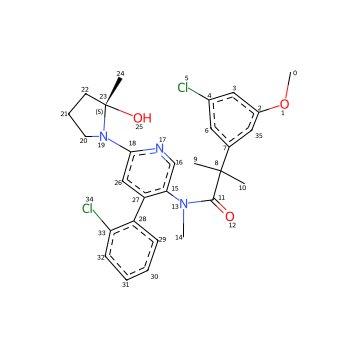 COc1cc(Cl)cc(C(C)(C)C(=O)N(C)c2cnc(N3CCC[C@]3(C)O)cc2-c2ccccc2Cl)c1